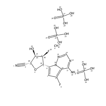 C.N#C[C@H]1O[C@@H](c2cc(F)c3c(N)ncnn23)[C@H](F)[C@@H]1O.O=P(O)(O)O.O=P(O)(O)O.O=P(O)(O)O